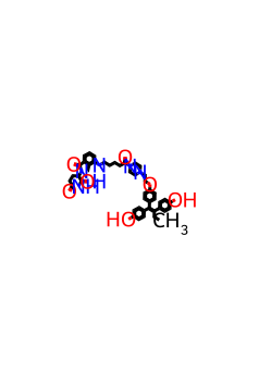 CCC(=C(c1ccc(O)cc1)c1ccc(OCCN2CCN(C(=O)CCCCNc3cccc4c3CN(C3CCC(=O)NC3=O)C4=O)CC2)cc1)c1ccc(O)cc1